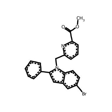 COC(=O)c1cccc(Cn2c(-c3ccccc3)cc3cc(Br)ccc32)n1